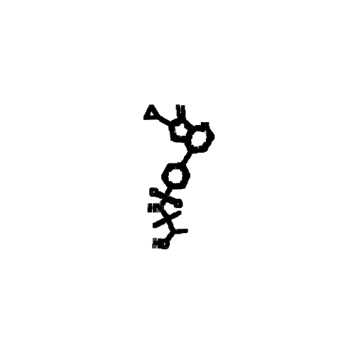 CC(O)C(C)(C)NS(=O)(=O)c1ccc(-c2ccnc3[nH]c(C4CC4)cc23)cc1